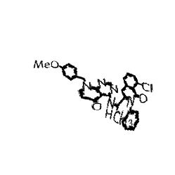 COc1ccc(Cn2ccc(=O)c3c(NC(C)c4cc5cccc(Cl)c5c(=O)n4-c4ccccc4)ncnc32)cc1